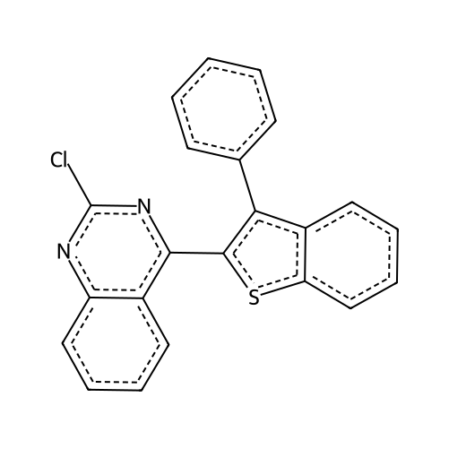 Clc1nc(-c2sc3ccccc3c2-c2ccccc2)c2ccccc2n1